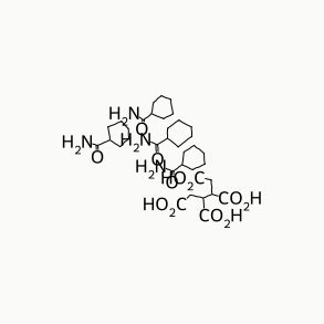 NC(=O)C1CCCCC1.NC(=O)C1CCCCC1.NC(=O)C1CCCCC1.NC(=O)C1CCCCC1.O=C(O)CC(C(=O)O)C(CC(=O)O)C(=O)O